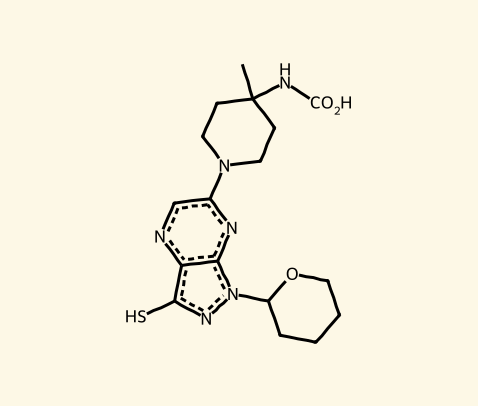 CC1(NC(=O)O)CCN(c2cnc3c(S)nn(C4CCCCO4)c3n2)CC1